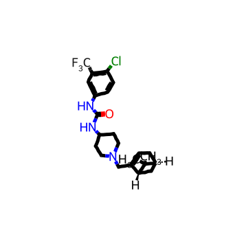 CC1(C)[C@H]2CC=C(CN3CCC(NC(=O)Nc4ccc(Cl)c(C(F)(F)F)c4)CC3)[C@H]1C2